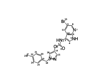 O=C(Nc1c[nH]c2ncc(Br)cc12)Oc1cnn(Cc2ccc(F)cc2)c1